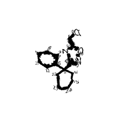 ClCc1nc(C2(c3ccccc3)CCCCC2)no1